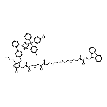 CCCCc1nc(Cl)c(CNC(=O)COCC(=O)NCCOCCOCCOCCNC(=O)OCC2c3ccccc3-c3ccccc32)n1Cc1ccc(-c2ccccc2-c2nnn(C(c3ccccc3)(c3ccc(C)cc3)c3ccc(OC)cc3)n2)cc1